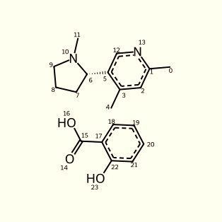 Cc1cc(C)c([C@@H]2CCCN2C)cn1.O=C(O)c1ccccc1O